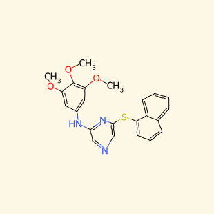 COc1cc(Nc2cncc(Sc3cccc4ccccc34)n2)cc(OC)c1OC